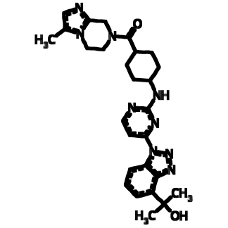 Cc1cnc2n1CCN(C(=O)C1CCC(Nc3nccc(-n4nnc5c(C(C)(C)O)cccc54)n3)CC1)C2